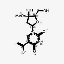 C=C(Br)c1cn([C@H]2C[C@@](O)(OC)[C@@H](CO)O2)c(=O)[nH]c1=O